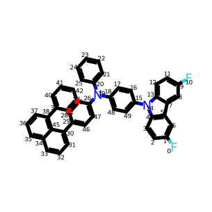 Fc1ccc2c(c1)c1cc(F)ccc1n2-c1ccc(N(c2ccccc2)c2ccc(-c3cccc4cccc(-c5ccccc5)c34)cc2)cc1